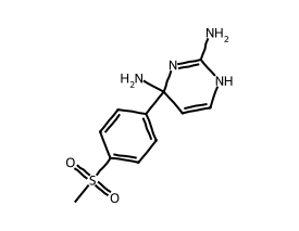 CS(=O)(=O)c1ccc(C2(N)C=CNC(N)=N2)cc1